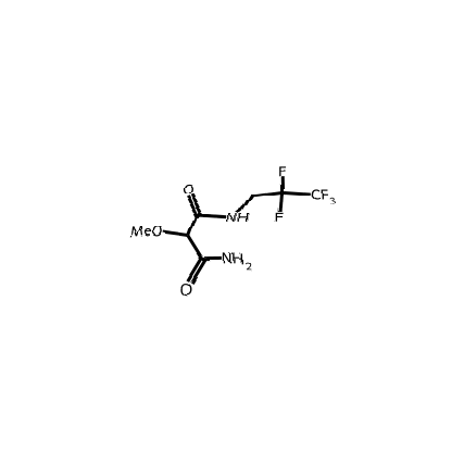 COC(C(N)=O)C(=O)NCC(F)(F)C(F)(F)F